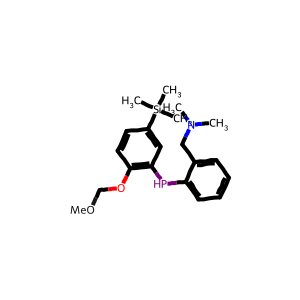 COCOc1ccc([Si](C)(C)C)cc1Pc1ccccc1CN(C)C